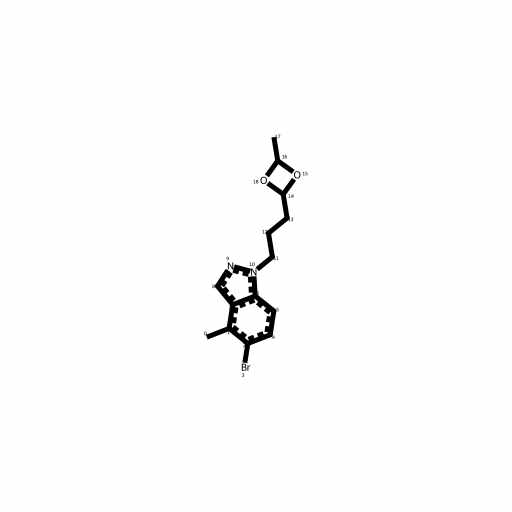 Cc1c(Br)ccc2c1cnn2CCCC1OC(C)O1